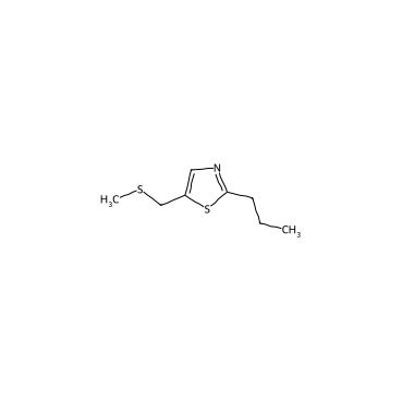 CCCc1ncc(CSC)s1